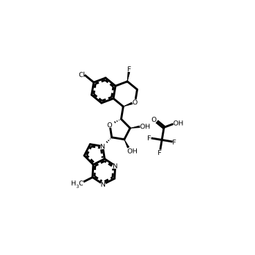 Cc1ncnc2c1ccn2[C@@H]1O[C@H]([C@@H]2OC[C@H](F)c3cc(Cl)ccc32)[C@@H](O)[C@H]1O.O=C(O)C(F)(F)F